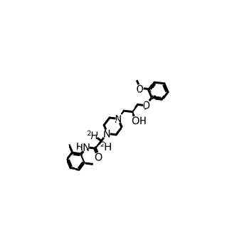 [2H]C([2H])(C(=O)Nc1c(C)cccc1C)N1CCN(CC(O)COc2ccccc2OC)CC1